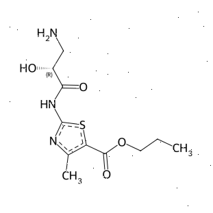 CCCOC(=O)c1sc(NC(=O)[C@H](O)CN)nc1C